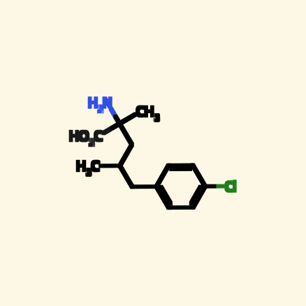 CC(Cc1ccc(Cl)cc1)CC(C)(N)C(=O)O